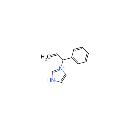 C=CC(c1ccccc1)[n+]1cc[nH]c1